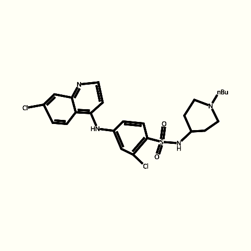 CCCCN1CCC(NS(=O)(=O)c2ccc(Nc3ccnc4cc(Cl)ccc34)cc2Cl)CC1